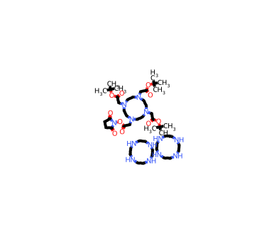 C1CNCCNCCNCCN1.C1CNCCNCCNCCN1.CC(C)(C)OC(=O)CN1CCN(CC(=O)ON2C(=O)CCC2=O)CCN(CC(=O)OC(C)(C)C)CCN(CC(=O)OC(C)(C)C)CC1